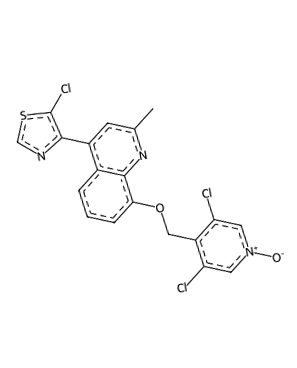 Cc1cc(-c2ncsc2Cl)c2cccc(OCc3c(Cl)c[n+]([O-])cc3Cl)c2n1